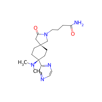 CN(C)[C@]1(c2cnccn2)CC[C@@]2(CC1)CC(=O)N(CCCC(N)=O)C2